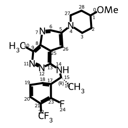 COC1CCN(c2cnc3c(C)nnc(N[C@H](C)c4cccc(C(F)(F)F)c4F)c3c2)CC1